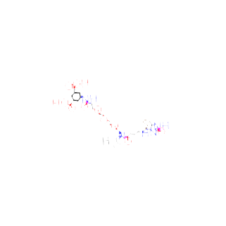 CN(CCOCCOCCOCCC(=O)Nc1cc(C(=O)O)cc(C(=O)O)c1)C(=O)CCCCC1SCC2NC(=O)NC21